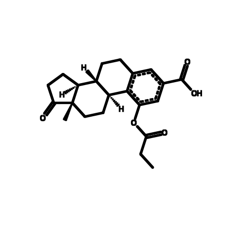 CCC(=O)Oc1cc(C(=O)O)cc2c1[C@H]1CC[C@]3(C)C(=O)CC[C@H]3[C@@H]1CC2